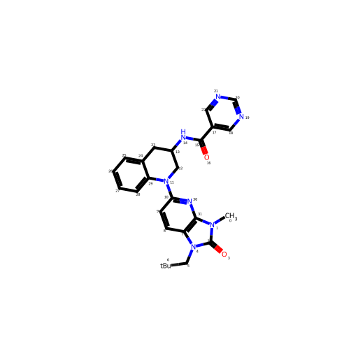 Cn1c(=O)n(CC(C)(C)C)c2ccc(N3CC(NC(=O)c4cncnc4)Cc4ccccc43)nc21